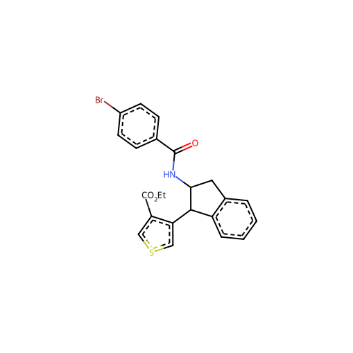 CCOC(=O)c1cscc1C1c2ccccc2CC1NC(=O)c1ccc(Br)cc1